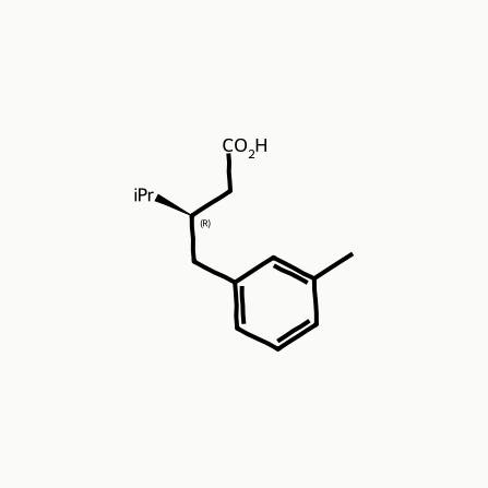 Cc1cccc(C[C@H](CC(=O)O)C(C)C)c1